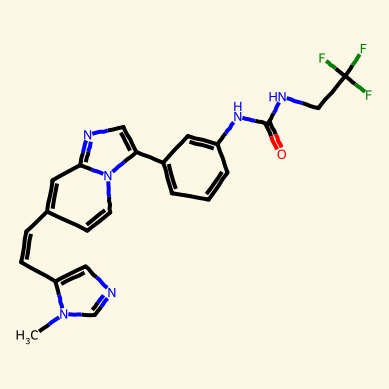 Cn1cncc1/C=C\c1ccn2c(-c3cccc(NC(=O)NCC(F)(F)F)c3)cnc2c1